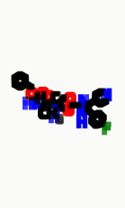 CC(NC(=O)OCc1ccccc1)C(=O)NC1(C)COC(c2nc(-c3ccncc3)c(-c3ccc(F)cc3)[nH]2)OC1